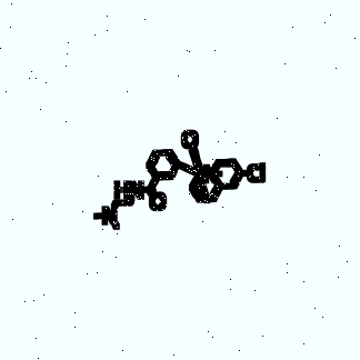 CN(C)CCNC(=O)c1cccc(C2=C3C=CC=C4C=C(Cl)C=CC43C[N]C2=O)c1